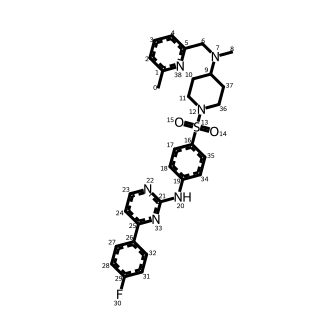 Cc1cccc(CN(C)C2CCN(S(=O)(=O)c3ccc(Nc4nccc(-c5ccc(F)cc5)n4)cc3)CC2)n1